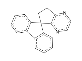 c1ccc2c(c1)-c1ccccc1C21CCc2nccnc21